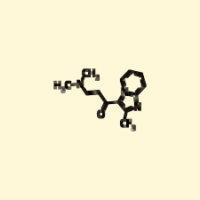 CN(C)/C=C/C(=O)c1c(C(F)(F)F)nc2ccccn12